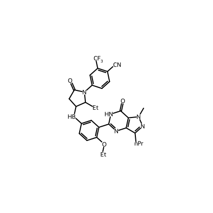 CCCc1nn(C)c2c(=O)[nH]c(-c3cc(BC4CC(=O)N(c5ccc(C#N)c(C(F)(F)F)c5)C4CC)ccc3OCC)nc12